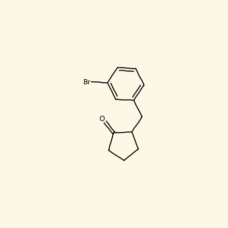 O=C1CCCC1Cc1cccc(Br)c1